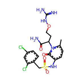 Cc1ccc(NS(=O)(=O)Cc2ccc(Cl)cc2Cl)c(=O)n1C(CCONC(=N)N)C(N)=O